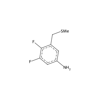 CSCc1cc(N)cc(F)c1F